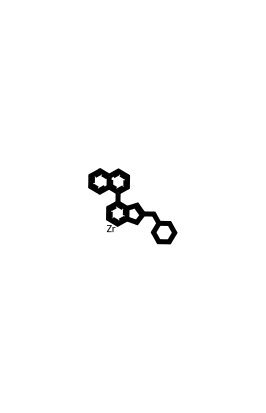 [CH]1C(CC2CCCCC2)=Cc2c1cccc2-c1cccc2ccccc12.[Zr]